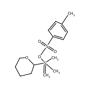 C=S(C)(C)(OS(=O)(=O)c1ccc(C)cc1)C1CCCCO1